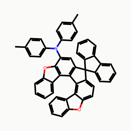 Cc1ccc(N(c2ccc(C)cc2)c2cc3c(c4c2oc2ccccc24)-c2c(ccc4oc5ccccc5c24)C32c3ccccc3-c3ccccc32)cc1